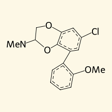 CNC1COc2cc(Cl)cc(-c3ccccc3OC)c2O1